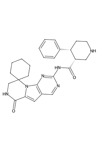 O=C1NCC2(CCCCC2)n2c1cc1cnc(NC(=O)[C@H]3CNCC[C@H]3c3ccccc3)nc12